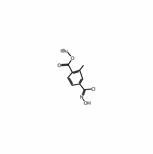 Cc1cc(C(Cl)=NO)ccc1C(=O)OC(C)(C)C